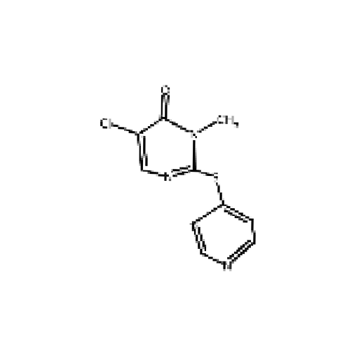 Cn1c(Sc2ccncc2)ncc(Cl)c1=O